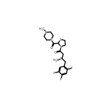 CN1CCN(C(=O)C2SCCN2C(=O)C[C@H](N)Cc2cc(F)c(F)cc2F)CC1